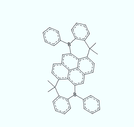 CC1(C)c2ccccc2B(c2ccccc2)c2cc3ccc4c5c(cc6ccc1c2c6c35)B(c1ccccc1)c1ccccc1C4(C)C